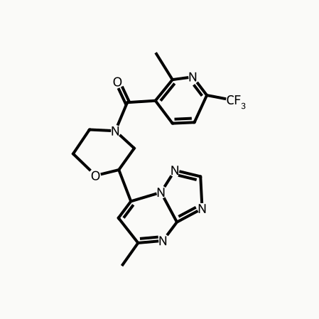 Cc1cc(C2CN(C(=O)c3ccc(C(F)(F)F)nc3C)CCO2)n2ncnc2n1